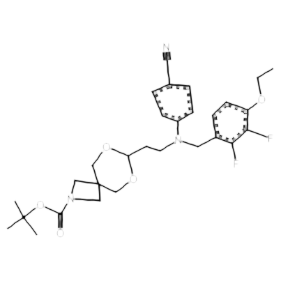 CCOc1ccc(CN(CCC2OCC3(CO2)CN(C(=O)OC(C)(C)C)C3)c2ccc(C#N)cc2)c(F)c1F